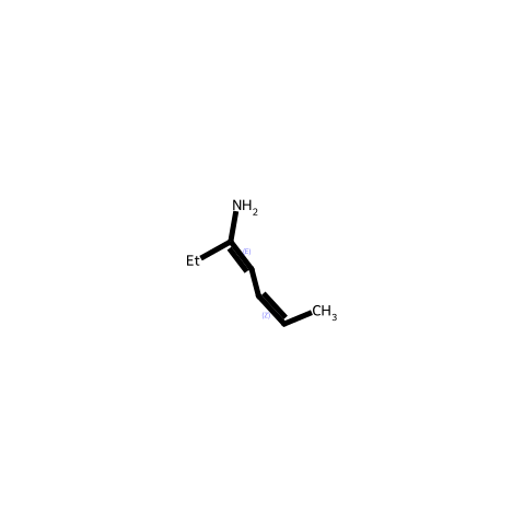 C/C=C\C=C(\N)CC